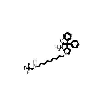 NC(=O)C(c1ccccc1)(c1ccccc1)C1CCN(CCCCCCCCCNCC(F)(F)F)C1